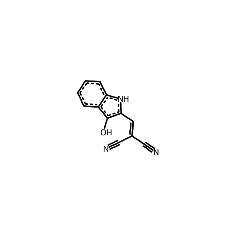 N#CC(C#N)=Cc1[nH]c2ccccc2c1O